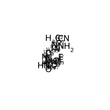 C[C@]1(C#N)C[C@](N)(c2ncc(-c3ccc4nc5n(c4c3)[C@@H]3C[C@H]5NC(=O)c4cccc(OC(F)F)c43)cn2)C1